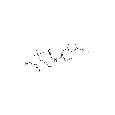 CC(C)(C)N(C(=O)O)[C@H]1CCN(c2ccc3c(c2)CCC3N)C1=O